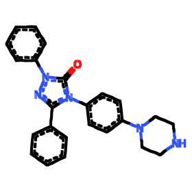 O=c1n(-c2ccccc2)nc(-c2ccccc2)n1-c1ccc(N2CCNCC2)cc1